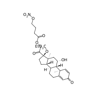 CCOC(=O)O[C@]1(C(=O)COC(=O)CCCO[N+](=O)[O-])CC[C@H]2[C@@H]3CCC4=CC(=O)C=C[C@]4(C)[C@H]3[C@@H](O)C[C@@]21C